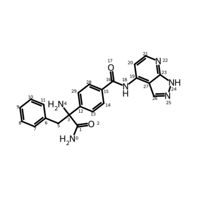 NC(=O)C(N)(Cc1ccccc1)c1ccc(C(=O)Nc2ccnc3[nH]ncc23)cc1